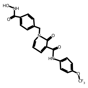 O=C(NO)c1ccc(Cn2cccc(C(=O)Nc3ccc(OC(F)(F)F)cc3)c2=O)cc1